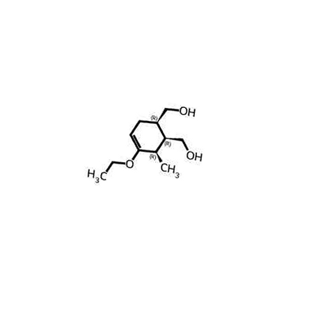 CCOC1=CC[C@@H](CO)[C@@H](CO)[C@H]1C